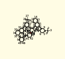 CC(C)(C)c1ccc2c(c1)c1cc3ccccc3c3c4c5c6cc(C(C)(C)C)cc7c8cc9ccccc9c(N(c9ccccc9)c9ccccc9)c8n(c5cnc4n2c13)c76